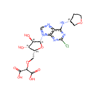 O=C(O)C(OC[C@H]1O[C@@H](n2cnc3c(N[C@@H]4CCOC4)nc(Cl)nc32)[C@H](O)[C@H]1O)C(=O)O